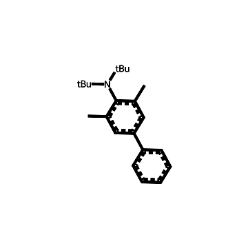 Cc1cc(-c2ccccc2)cc(C)c1N(C(C)(C)C)C(C)(C)C